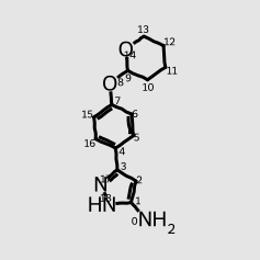 Nc1cc(-c2ccc(OC3CCCCO3)cc2)n[nH]1